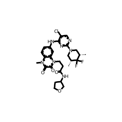 C[C@@H]1CN(c2ncc(Cl)c(Nc3ccc4c(c3)n(CCC(=O)NC3CCOC3)c(=O)c(=O)n4C)n2)C[C@H](C)C1(F)F